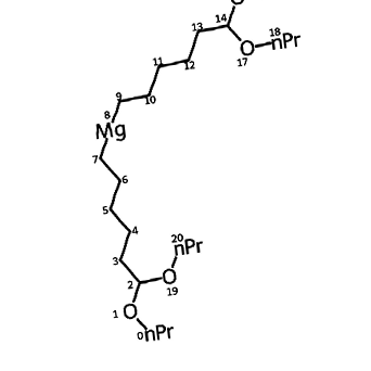 CCCOC(CCCC[CH2][Mg][CH2]CCCCC(OCCC)OCCC)OCCC